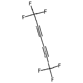 FC(F)(F)C#CC#CC(F)(F)F